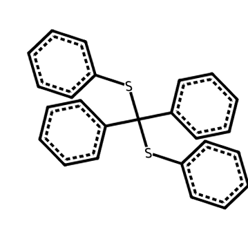 c1ccc(SC(Sc2ccccc2)(c2ccccc2)c2ccccc2)cc1